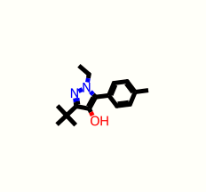 CCn1nc(C(C)(C)C)c(O)c1-c1ccc(C)cc1